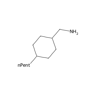 CCCCCC1CCC(CN)CC1